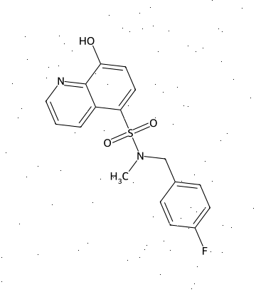 CN(Cc1ccc(F)cc1)S(=O)(=O)c1ccc(O)c2ncccc12